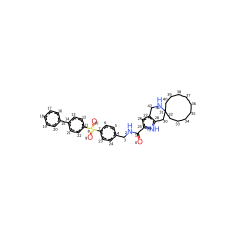 O=C(NCc1ccc(S(=O)(=O)c2ccc(-c3ccccc3)cc2)cc1)c1cc2c([nH]1)CC1(CCCCCCCCC1)NC2